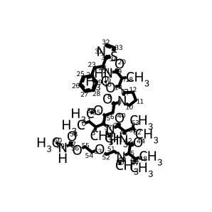 CCC(C)C(C(CC(=O)N1CCC[C@H]1C(OC)C(C)C(=O)NC(Cc1ccccc1)c1nccs1)OC)N(C)C(=O)C(NC(=O)C(C(C)C)N(C)CCOCCOC(=O)NC)C(C)C